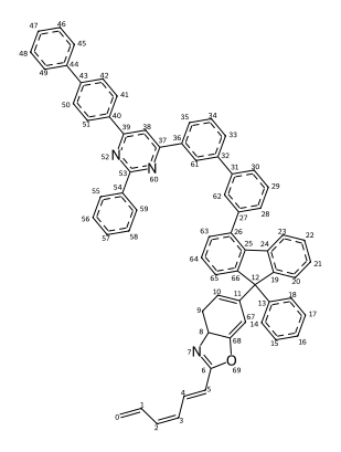 C=C/C=C\C=C\C1=NC2CC=C(C3(c4ccccc4)c4ccccc4-c4c(-c5cccc(-c6cccc(-c7cc(-c8ccc(-c9ccccc9)cc8)nc(-c8ccccc8)n7)c6)c5)cccc43)C=C2O1